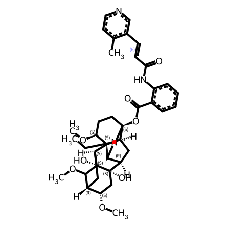 CCN1C[C@]2(OC(=O)c3ccccc3NC(=O)/C=C/c3cnccc3C)CC[C@H](OC)[C@]34C1[C@@H](C[C@H]23)[C@@]1(O)C[C@H](OC)[C@H]2C[C@@H]4[C@]1(O)C2OC